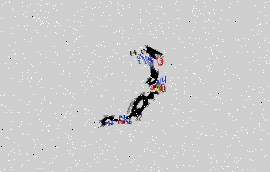 CC1(C(=O)Nc2cccc(NS(=O)(=O)CC=Cc3ccc(-c4noc(-c5ccccn5)n4)cc3)c2)CC1